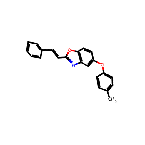 Cc1ccc(Oc2ccc3oc(/C=C/c4ccccc4)nc3c2)cc1